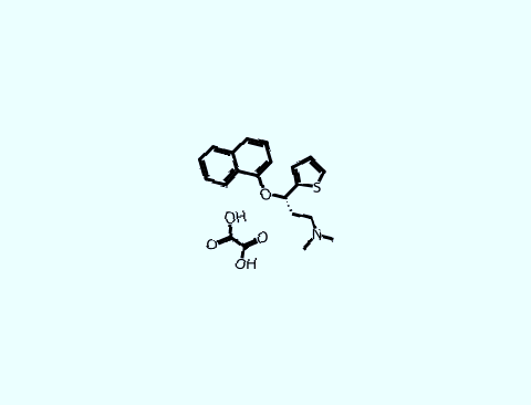 CN(C)CC[C@H](Oc1cccc2ccccc12)c1cccs1.O=C(O)C(=O)O